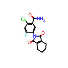 NC(=O)c1cc(N2C(=O)C3=C(CCCC3)C2=O)c(F)cc1Cl